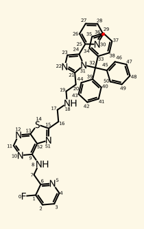 Fc1cccnc1CNc1ncnc2sc(CCNCCc3ncc(-c4ccccn4)n3C(c3ccccc3)(c3ccccc3)c3ccccc3)nc12